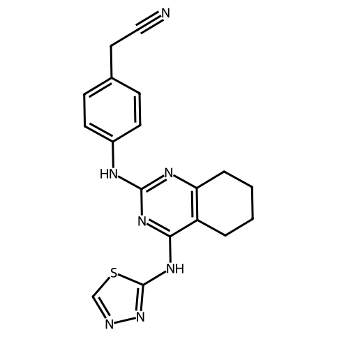 N#CCc1ccc(Nc2nc3c(c(Nc4nncs4)n2)CCCC3)cc1